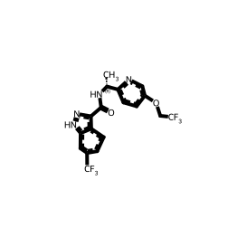 C[C@@H](NC(=O)c1n[nH]c2cc(C(F)(F)F)ccc12)c1ccc(OCC(F)(F)F)cn1